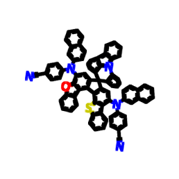 N#Cc1ccc(N(c2ccc3ccccc3c2)c2cc3c(c4c2oc2ccccc24)-c2c(cc(N(c4ccc(C#N)cc4)c4ccc5ccccc5c4)c4c2sc2ccccc24)C32c3ccccc3-n3c4ccccc4c4cccc2c43)cc1